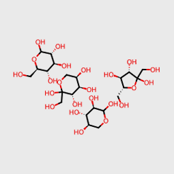 OC1OC[C@@H](O)[C@H](O)[C@H]1O.OCC1(O)OC[C@@H](O)[C@@H](O)[C@@H]1O.OC[C@H]1OC(O)(CO)[C@@H](O)[C@@H]1O.OC[C@H]1OC(O)[C@H](O)[C@@H](O)[C@@H]1O